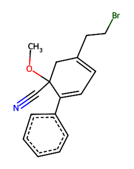 COC1(C#N)CC(CCBr)=CC=C1c1ccccc1